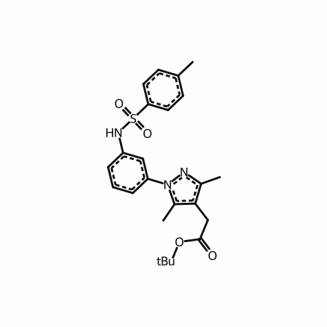 Cc1ccc(S(=O)(=O)Nc2cccc(-n3nc(C)c(CC(=O)OC(C)(C)C)c3C)c2)cc1